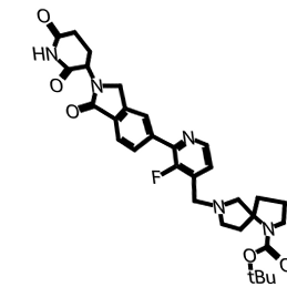 CC(C)(C)OC(=O)N1CCCC12CCN(Cc1ccnc(-c3ccc4c(c3)CN(C3CCC(=O)NC3=O)C4=O)c1F)C2